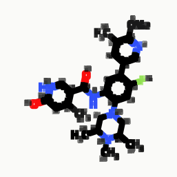 COc1ncc(-c2cc(NC(=O)c3c[nH]c(=O)cc3C(F)(F)F)c(N3CC(C)N(C)C(C)C3)cc2F)cc1C(F)(F)F